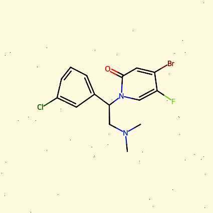 CN(C)CC(c1cccc(Cl)c1)n1cc(F)c(Br)cc1=O